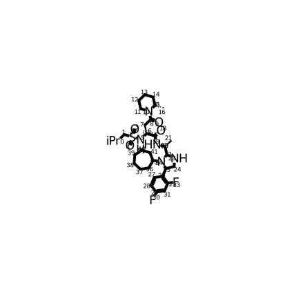 CC(C)CS(=O)(=O)N[C@@H](CC(=O)N1CCCC[C@@H]1C)C(=O)N[C@@H](C)C1NCC(c2ccc(F)cc2F)N1C1CCCCCC1